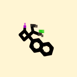 CNC(C)C1(c2ccc3ccccc3c2)CCC1I.Cl